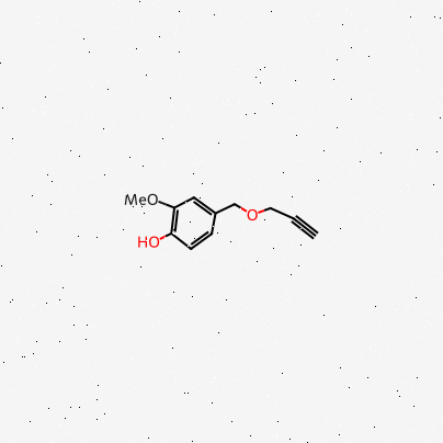 C#CCOCc1ccc(O)c(OC)c1